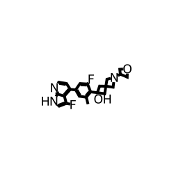 Cc1cc(-c2ccnc3[nH]cc(F)c23)cc(F)c1C1(O)CC2(CN(C3COC3)C2)C1